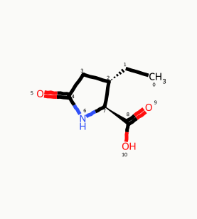 CC[C@H]1CC(=O)N[C@@H]1C(=O)O